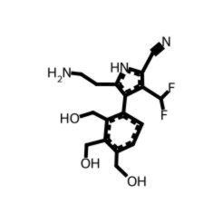 N#Cc1[nH]c(CCN)c(-c2ccc(CO)c(CO)c2CO)c1C(F)F